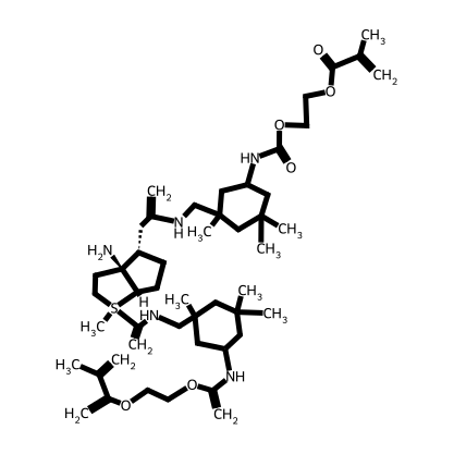 C=C(C[C@@H]1CC[C@H]2[C@]1(N)CCS2(C)C(=C)NCC1(C)CC(NC(=C)OCCOC(=C)C(=C)C)CC(C)(C)C1)NCC1(C)CC(NC(=O)OCCOC(=O)C(=C)C)CC(C)(C)C1